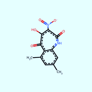 Cc1cc(C)c2c(=O)c(O)c([N+](=O)[O-])c(=O)[nH]c2c1